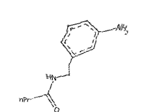 CCCC(=O)NCc1cccc(N)c1